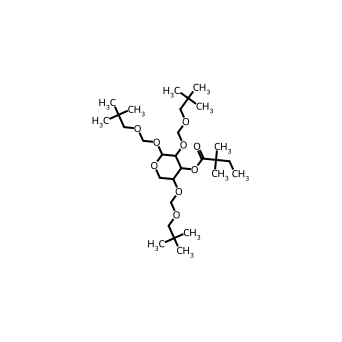 CCC(C)(C)C(=O)OC1C(OCOCC(C)(C)C)COC(OCOCC(C)(C)C)C1OCOCC(C)(C)C